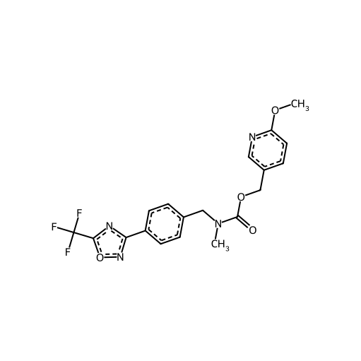 COc1ccc(COC(=O)N(C)Cc2ccc(-c3noc(C(F)(F)F)n3)cc2)cn1